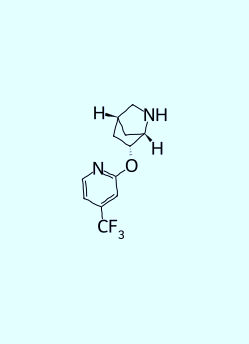 FC(F)(F)c1ccnc(O[C@@H]2C[C@@H]3CN[C@H]2C3)c1